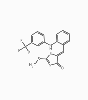 CSC1=NC(=O)C(=Cc2ccccc2Nc2cccc(C(F)(F)F)c2)S1